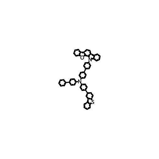 c1ccc(-c2ccc(N(c3ccc(-c4ccc(-n5c6ccccc6c6ccc7c8ccccc8oc7c65)cc4)cc3)c3ccc(-c4ccc5sc6ccccc6c5c4)cc3)cc2)cc1